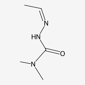 C/C=N\NC(=O)N(C)C